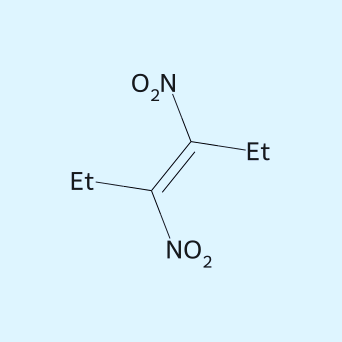 CC/C(=C(/CC)[N+](=O)[O-])[N+](=O)[O-]